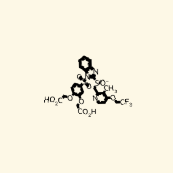 Cc1c(OCC(F)(F)F)ccnc1C[S+]([O-])c1nc2ccccc2n1S(=O)(=O)c1ccc(OCC(=O)O)c(OCC(=O)O)c1